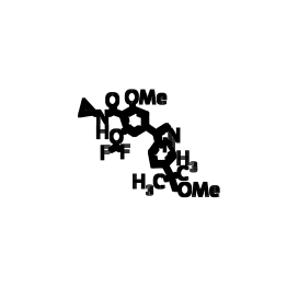 COCC(C)(C)c1ccc2c(-c3cc(OC)c(C(=O)NC4CC4)c(OC(F)F)c3)cnn2c1